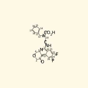 O=C1COCc2nc(NCCN(Cc3ccccc3)C(=O)O)c3cc(F)c(F)cc3c21